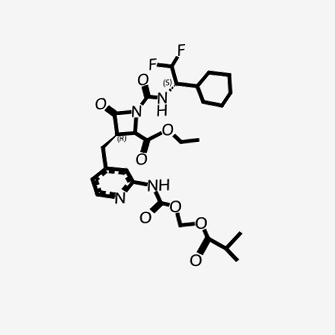 CCOC(=O)C1[C@@H](Cc2ccnc(NC(=O)OCOC(=O)C(C)C)c2)C(=O)N1C(=O)N[C@H](C(F)F)C1CCCCC1